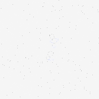 Cc1cc2cc(CNc3cnc4ccccc4n3)ccc2[nH]1